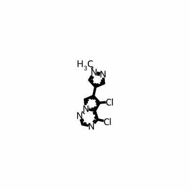 Cn1cc(-c2cn3ncnc(Cl)c3c2Cl)cn1